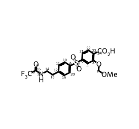 COCOc1cc(S(=O)(=O)c2ccc(CCNC(=O)C(F)(F)F)cc2)ccc1C(=O)O